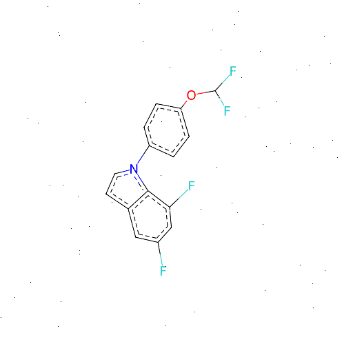 Fc1cc(F)c2c(ccn2-c2ccc(OC(F)F)cc2)c1